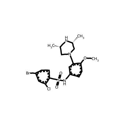 COc1ccc(NS(=O)(=O)c2ccc(Br)cc2Cl)cc1N1C[C@@H](C)N[C@@H](C)C1